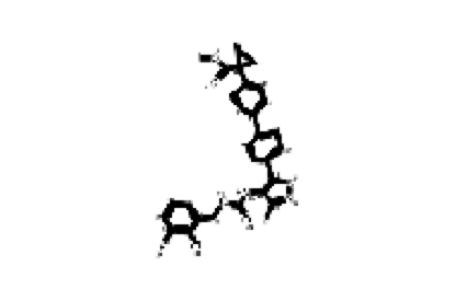 COC(=O)C1(c2ccc(-c3ccc(-c4snc(C)c4NC(=O)OCc4cccc(F)c4Cl)cc3)cc2)CC1